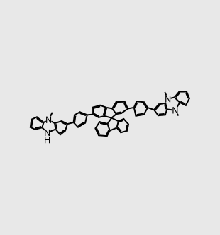 CN1c2ccccc2Nc2ccc(-c3ccc(-c4ccc5c(c4)C4(c6ccccc6-c6ccccc64)c4cc(-c6ccc(-c7ccc8c(c7)N(C)c7ccccc7N8C)cc6)ccc4-5)cc3)cc21